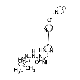 CC(C)(C)c1cc(NC(=O)NC(=N)/C=C2/N=CC(C#Cc3ccc(OCCN4CCOCC4)cn3)=CN2)no1